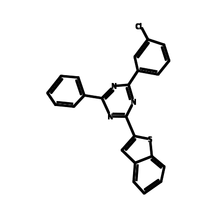 Clc1cccc(-c2nc(-c3ccccc3)nc(-c3cc4ccccc4s3)n2)c1